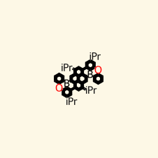 CC(C)c1cc2c3c(c1)-c1cc(C(C)C)c4cc5c6c(cc(C(C)C)c7cc(c1c4c76)B3c1ccccc1O2)-c1cc(C(C)C)cc2c1B5c1ccccc1O2